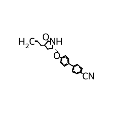 C=CC[C@@H]1C[C@@H](COc2ccc(-c3ccc(C#N)cc3)cc2)NC1=O